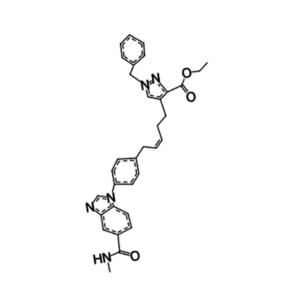 CCOC(=O)c1nn(Cc2ccccc2)cc1CC/C=C\Cc1ccc(-n2cnc3cc(C(=O)NC)ccc32)cc1